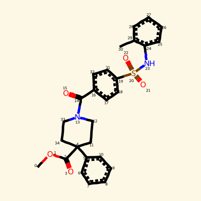 COC(=O)C1(c2ccccc2)CCN(C(=O)c2ccc(S(=O)(=O)Nc3ccccc3C)cc2)CC1